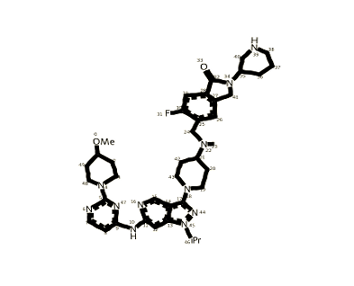 COC1CCN(c2nccc(Nc3cc4c(cn3)c(N3CCC(N(C)Cc5cc6c(cc5F)C(=O)N(C5CCCNC5)C6)CC3)nn4C(C)C)n2)CC1